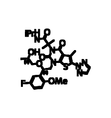 COc1ccc(F)cc1[C@H](Cn1c(=O)n(C(C)(C)C(=O)NC(C)C)c(=O)c2c(C)c(-n3nccn3)sc21)OC[C@@H](C)O